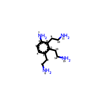 NCCc1ccc(N)c(CCN)c1CCN